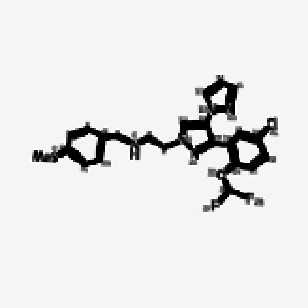 CSc1ccc(CNCCn2cc(-n3cccn3)c(-c3cc(Cl)ccc3OC(F)F)n2)cc1